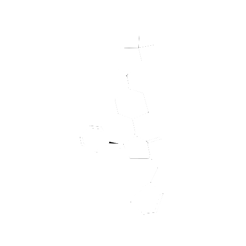 CC(C)(C)OC(=O)N1CCC(N2C(=O)N(Cc3ccncc3)C[C@H]2c2ccccc2)CC1